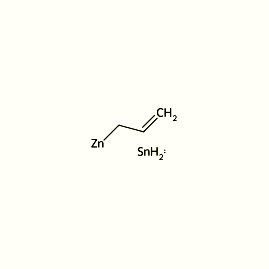 C=C[CH2][Zn].[SnH2]